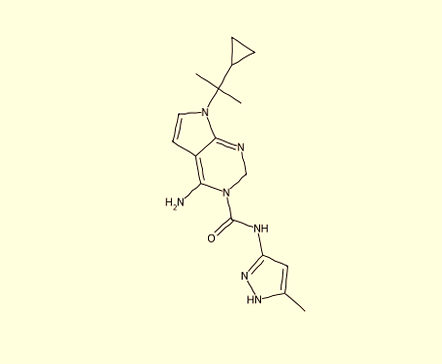 Cc1cc(NC(=O)N2CN=c3c(ccn3C(C)(C)C3CC3)=C2N)n[nH]1